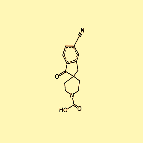 N#Cc1ccc2c(c1)CC1(CCN(C(=O)O)CC1)C2=O